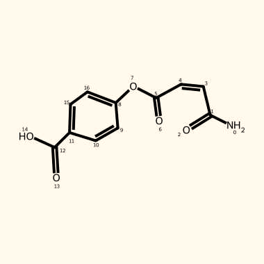 NC(=O)/C=C\C(=O)Oc1ccc(C(=O)O)cc1